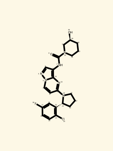 O=C(Nc1cnn2ccc(N3CCC[C@@H]3c3cc(F)ccc3Cl)nc12)N1CCC[C@H](O)C1